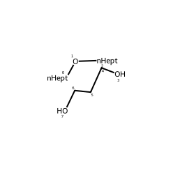 CCCCCCCOCCCCCCC.OCCCO